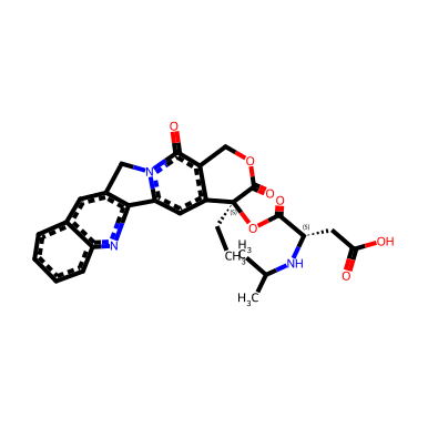 CC[C@@]1(OC(=O)[C@H](CC(=O)O)NC(C)C)C(=O)OCc2c1cc1n(c2=O)Cc2cc3ccccc3nc2-1